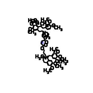 COc1ccc(CC(C)c2c(CCN(C)CCCOC(=O)/C=C\C(=O)OCCC[N+]3(C)CCc4cc(OC)c(OC)cc4C3Cc3cc(OC)c(OC)c(OC)c3)cc(OC)c(OC)c2OC)cc1OC